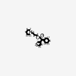 O=C(OCCCN1CCCCC1)C(=C1CCCCC1)c1ccsc1